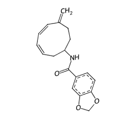 C=C1/C=C\C=C/CC(NC(=O)c2ccc3c(c2)OCO3)CC1